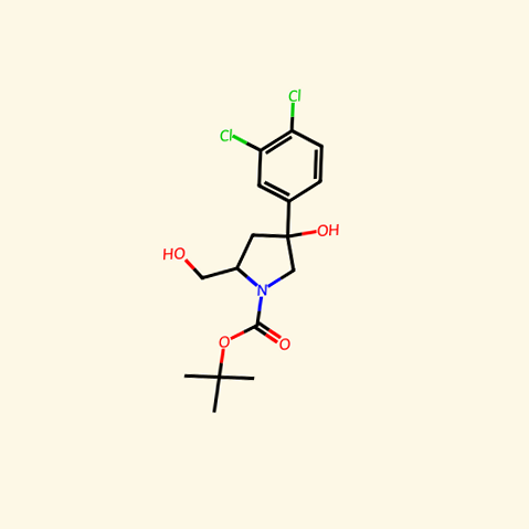 CC(C)(C)OC(=O)N1CC(O)(c2ccc(Cl)c(Cl)c2)CC1CO